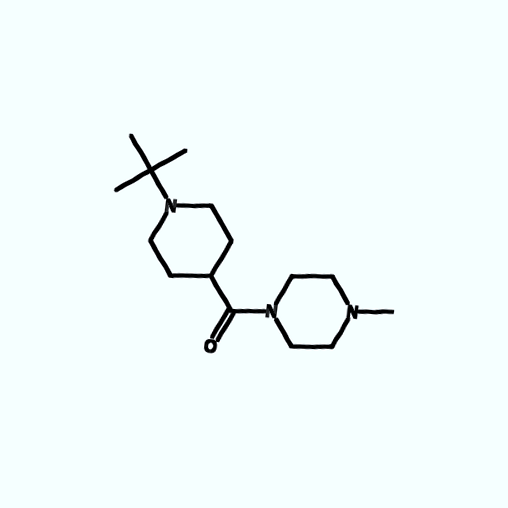 CN1CCN(C(=O)C2CCN(C(C)(C)C)CC2)CC1